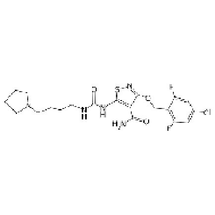 NC(=O)c1c(OCc2c(F)cc(Cl)cc2F)nsc1NC(=O)NCCCCN1CCCC1